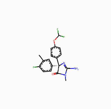 Cc1cc([C@]2(c3ccc(OC(F)F)cc3)N=C(N)N(C)C2=O)ccc1F